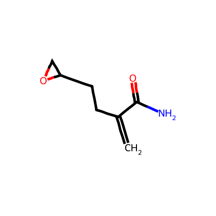 C=C(CCC1CO1)C(N)=O